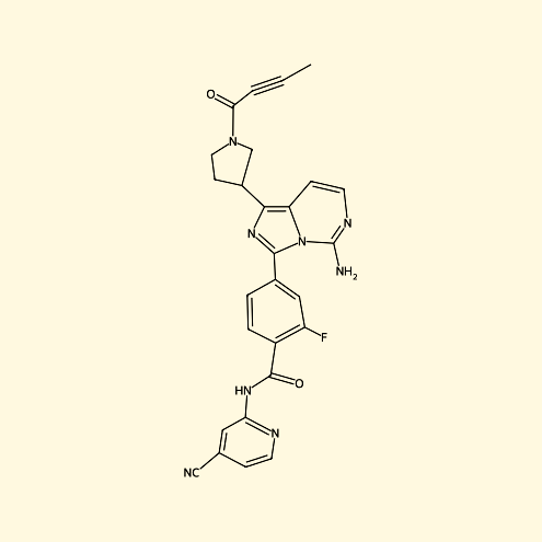 CC#CC(=O)N1CCC(c2nc(-c3ccc(C(=O)Nc4cc(C#N)ccn4)c(F)c3)n3c(N)nccc23)C1